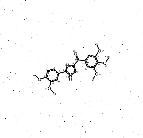 COc1ccc(-c2nc(C(=O)c3cc(OC)c(OC)c(OC)c3)c[nH]2)cc1OC